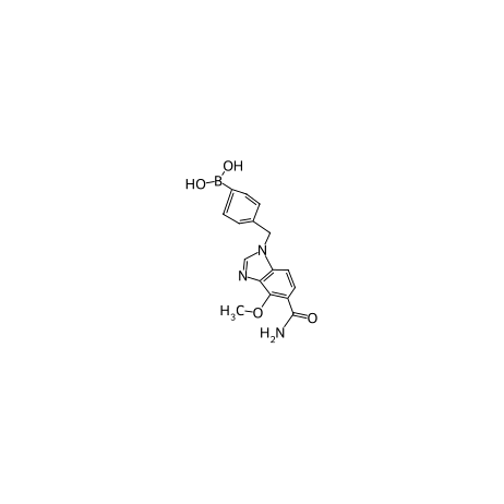 COc1c(C(N)=O)ccc2c1ncn2Cc1ccc(B(O)O)cc1